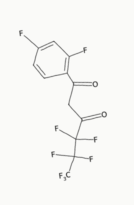 O=C(CC(=O)C(F)(F)C(F)(F)C(F)(F)F)c1ccc(F)cc1F